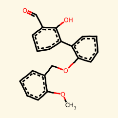 COc1ccccc1COc1ccccc1-c1cccc(C=O)c1O